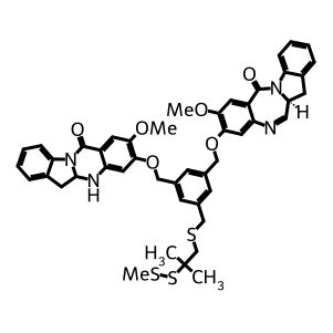 COc1cc2c(cc1OCc1cc(COc3cc4c(cc3OC)C(=O)N3c5ccccc5CC3N4)cc(CSCC(C)(C)SSC)c1)N=C[C@@H]1Cc3ccccc3N1C2=O